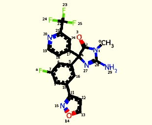 CN1C(=O)C(c2cc(F)cc(-c3ccon3)c2)(c2ccnc(C(F)(F)F)c2)N=C1N